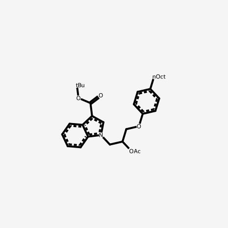 CCCCCCCCc1ccc(OCC(Cn2cc(C(=O)OC(C)(C)C)c3ccccc32)OC(C)=O)cc1